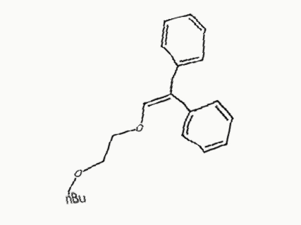 CCCCOCCOC=C(c1ccccc1)c1ccccc1